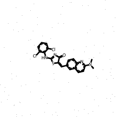 CN(C)c1ccc2cc(C=C3SC(Nc4c(Cl)cccc4Cl)=NC3=O)ccc2n1